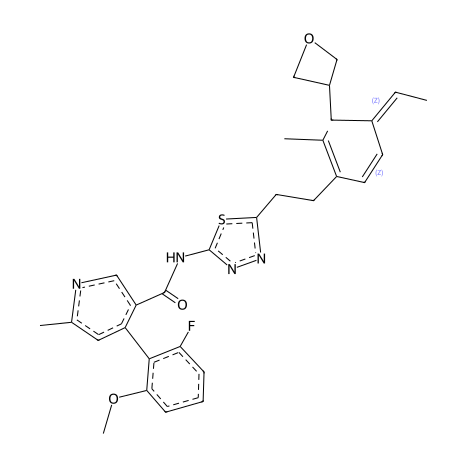 C/C=C(\C=C/C(CCc1nnc(NC(=O)c2cnc(C)cc2-c2c(F)cccc2OC)s1)=C(C)C)CC1COC1